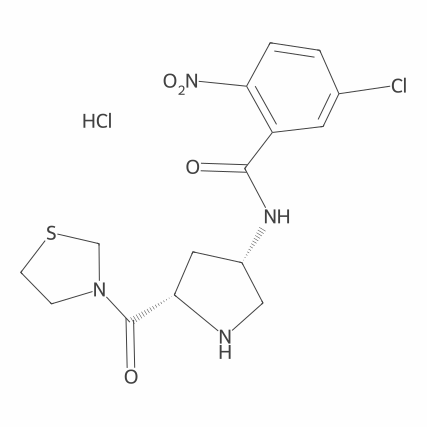 Cl.O=C(N[C@@H]1CN[C@H](C(=O)N2CCSC2)C1)c1cc(Cl)ccc1[N+](=O)[O-]